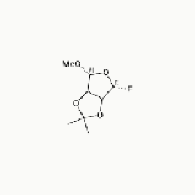 CO[C@@H]1O[C@H](F)C2OC(C)(C)OC21